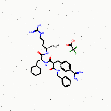 N=C(N)NCCC[C@H](NC(=O)[C@H](CC1CCCCC1)NC(=O)C(Cc1ccc(C(=N)N)cc1)C(=O)NCc1ccccc1)C(=O)O.O=C(O)C(F)(F)F